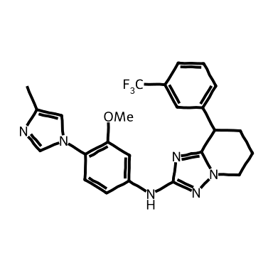 COc1cc(Nc2nc3n(n2)CCCC3c2cccc(C(F)(F)F)c2)ccc1-n1cnc(C)c1